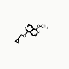 COc1nccc2c(OCC3CC3)nccc12